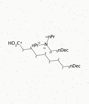 CCCCCCCCCCCCCCCCCC(=O)O.CCCCCCCCCCCN(CCC)CCC